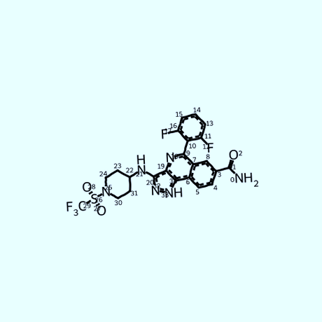 NC(=O)c1ccc2c(c1)c(-c1c(F)cccc1F)nc1c(NC3CCN(S(=O)(=O)C(F)(F)F)CC3)n[nH]c12